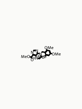 COC(=O)c1ncnc2c1NCC(=O)N2Cc1c(OC)cc(OC)cc1OC